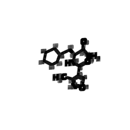 Cc1nocc1C(=O)N[C@@H](CC1CCCCC1)C(N)=O